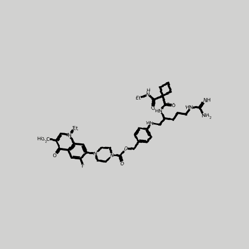 CCNC(=O)C1(C(=O)NC(CCCNC(=N)N)CNc2ccc(COC(=O)N3CCN(c4cc5c(cc4F)c(=O)c(C(=O)O)cn5CC)CC3)cc2)CCC1